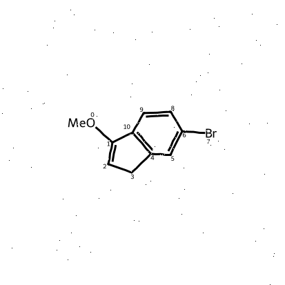 COC1=CCc2cc(Br)ccc21